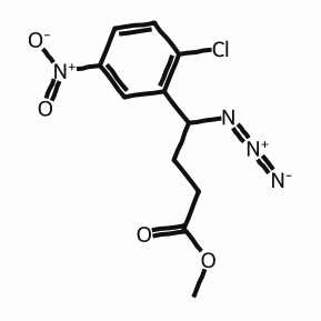 COC(=O)CCC(N=[N+]=[N-])c1cc([N+](=O)[O-])ccc1Cl